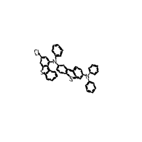 Clc1cc(N(c2ccccc2)c2ccc3sc4cc(N(c5ccccc5)c5ccccc5)ccc4c3c2)c2c(c1)sc1ccccc12